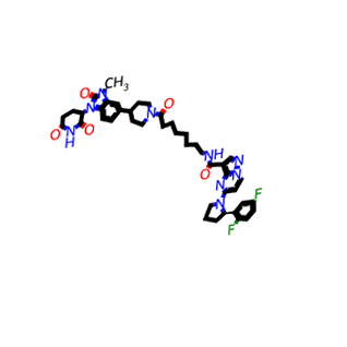 Cn1c(=O)n(C2CCC(=O)NC2=O)c2ccc(C3CCN(C(=O)CCCCCCCNC(=O)c4cnn5ccc(N6CCC[C@@H]6c6cc(F)ccc6F)nc45)CC3)cc21